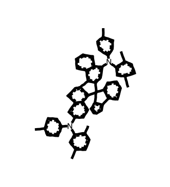 Cc1ccc(N(c2ccc3c4c(ccc3c2)-c2c(cc(N(c3ccc(C)cc3)c3cc(C)ccc3C)c3ccccc23)C42c3ccccc3-c3ccccc32)c2cc(C)ccc2C)cc1